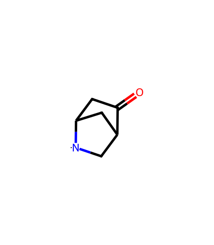 O=C1CC2CC1C[N]2